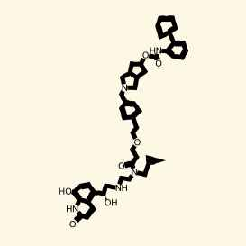 O=C(Nc1ccccc1-c1ccccc1)OC1CC2CN(Cc3ccc(CCOCCC(=O)N(CCNC[C@H](O)c4ccc(O)c5[nH]c(=O)ccc45)CC4CC4)cc3)CC2C1